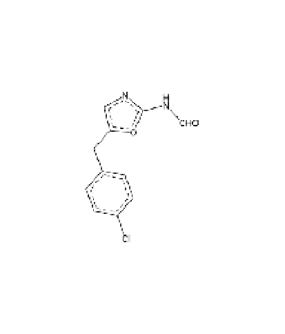 O=CNc1ncc(Cc2ccc(Cl)cc2)o1